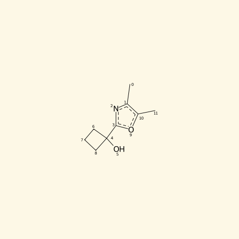 Cc1nc(C2(O)CCC2)oc1C